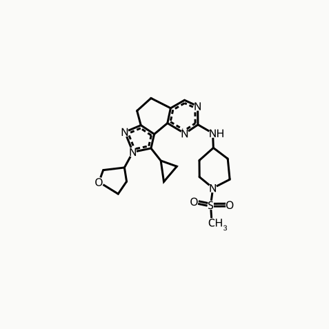 CS(=O)(=O)N1CCC(Nc2ncc3c(n2)-c2c(nn(C4CCOC4)c2C2CC2)CC3)CC1